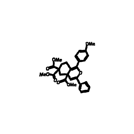 COC(=O)C12C=C(c3ccccc3)OC(c3ccc(OC)cc3)=C1CCC(C(=O)OC)(C(=O)OC)C2